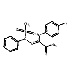 CC(C)(C)C(=O)C(=NN(c1ccccc1)S(C)(=O)=O)Nc1ccc(Cl)cc1